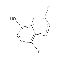 Oc1ccc(F)c2ccc(F)cc12